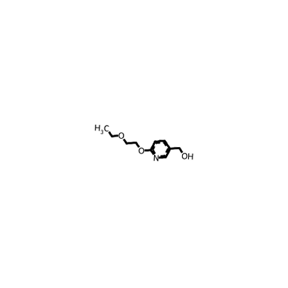 CCOCCOc1ccc(CO)cn1